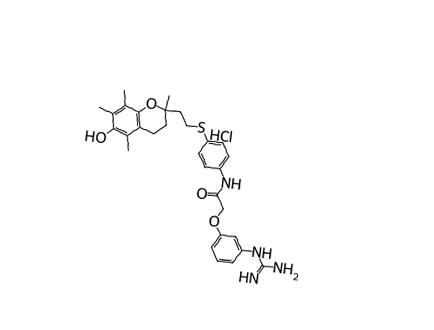 Cc1c(C)c2c(c(C)c1O)CCC(C)(CCSc1ccc(NC(=O)COc3cccc(NC(=N)N)c3)cc1)O2.Cl